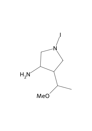 COC(C)C1CN(I)CC1N